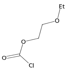 CCOCCOC(=O)Cl